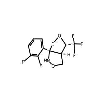 Fc1cccc([C@]23CO[C@H](C(F)(F)F)[C@H]2CON3)c1F